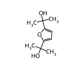 CC(C)(O)c1ccc(C(C)(C)O)o1